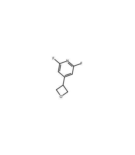 Fc1cc(C2COC2)cc(F)n1